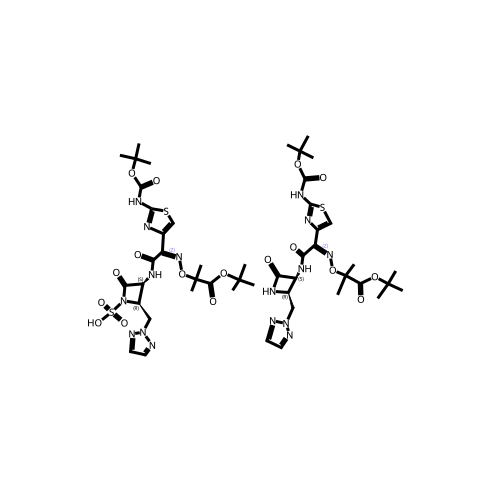 CC(C)(C)OC(=O)Nc1nc(/C(=N/OC(C)(C)C(=O)OC(C)(C)C)C(=O)N[C@@H]2C(=O)N(S(=O)(=O)O)[C@@H]2Cn2nccn2)cs1.CC(C)(C)OC(=O)Nc1nc(/C(=N/OC(C)(C)C(=O)OC(C)(C)C)C(=O)N[C@@H]2C(=O)N[C@@H]2Cn2nccn2)cs1